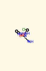 CN(C(=O)NCc1ccccc1Cl)[C@@H](CCCCN=N)COC(=O)Nc1cc2ccccc2cn1